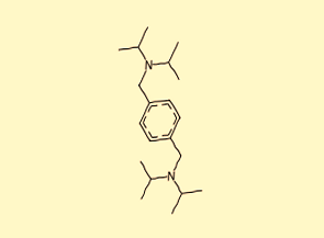 CC(C)N(Cc1ccc(CN(C(C)C)C(C)C)cc1)C(C)C